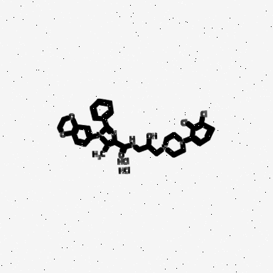 Cc1c(C(=O)NCC(O)CN2CCN(c3cccc(Cl)c3Cl)CC2)nc(-c2ccccc2)n1-c1ccc2c(c1)OCCO2.Cl.Cl